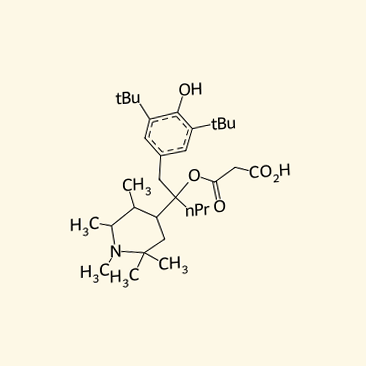 CCCC(Cc1cc(C(C)(C)C)c(O)c(C(C)(C)C)c1)(OC(=O)CC(=O)O)C1CC(C)(C)N(C)C(C)C1C